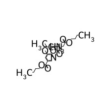 CCCCOC(=O)CNC(=O)Oc1ncc(C(=O)OCCCC)cc1OC(C)C